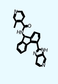 Cc1cnccc1C(=O)NC1c2ccccc2-c2c(-c3nc4ccncc4[nH]3)cccc21